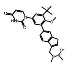 COc1c(-c2ccc3c(c2)CC=C3CN(C)[S+](C)[O-])cc(-n2ccc(=O)[nH]c2=O)cc1C(C)(C)C